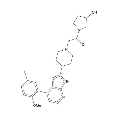 COc1ccc(F)cc1-c1ccnc2[nH]c(C3CCN(CC(=O)N4CCC(O)C4)CC3)cc12